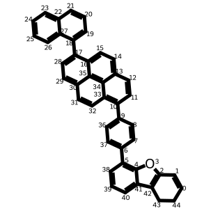 C1=Cc2oc3c(-c4ccc(-c5ccc6ccc7c(-c8cccc9ccccc89)ccc8ccc5c6c87)cc4)cccc3c2CC1